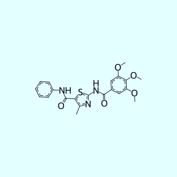 COc1cc(C(=O)Nc2nc(C)c(C(=O)Nc3ccccc3)s2)cc(OC)c1OC